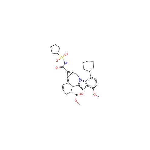 COC(=O)[C@@H]1CC=CC2=C3C(=C3C(=O)NS(=O)(=O)C3CCCC3)Cn3c(cc4c(OC)ccc(C5CCCCC5)c43)C21